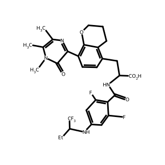 CCC(Nc1cc(F)c(C(=O)NC(Cc2ccc(-c3nc(C)c(C)n(C)c3=O)c3c2CCCO3)C(=O)O)c(F)c1)C(F)(F)F